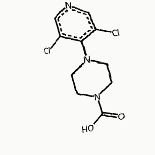 O=C(O)N1CCN(c2c(Cl)cncc2Cl)CC1